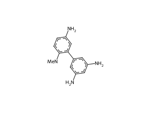 CNc1ccc(N)cc1-c1cc(N)cc(N)c1